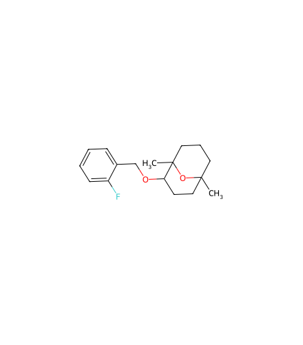 CC12CCCC(C)(O1)C(OCc1ccccc1F)CC2